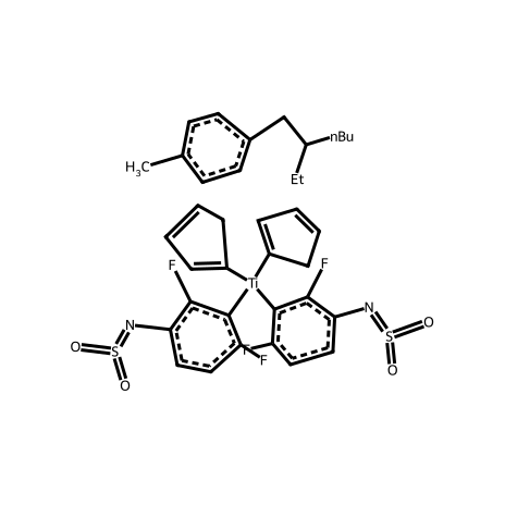 CCCCC(CC)Cc1ccc(C)cc1.O=S(=O)=Nc1ccc(F)[c]([Ti]([C]2=CC=CC2)([C]2=CC=CC2)[c]2c(F)ccc(N=S(=O)=O)c2F)c1F